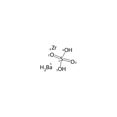 O=S(=O)(O)O.[BaH2].[Zr]